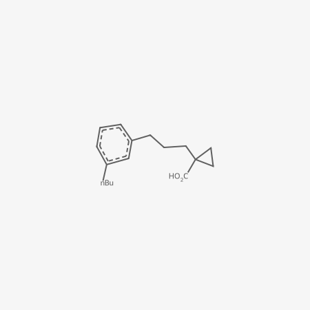 CCCCc1cccc(CCCC2(C(=O)O)CC2)c1